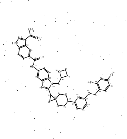 C=C(C)c1n[nH]c2ccc(C(=O)Nc3ccc4c(c3)nc(C3CC35CCN(c3cccc(OCc6ccc(Cl)cc6F)n3)CC5)n4CC3CCO3)cc12